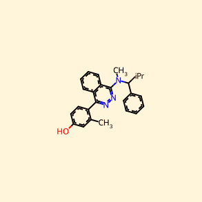 Cc1cc(O)ccc1-c1nnc(N(C)C(c2ccccc2)C(C)C)c2ccccc12